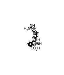 N=C(N)NCc1nc(CC(=O)NC2Cc3cccc(C(=O)O)c3OB2O)cs1